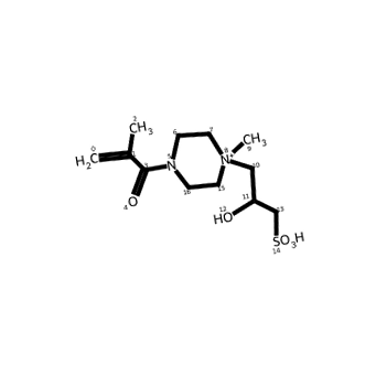 C=C(C)C(=O)N1CC[N+](C)(CC(O)CS(=O)(=O)O)CC1